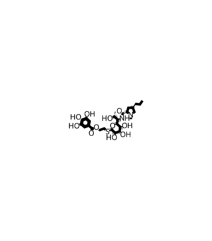 CCC[C@@H]1C[C@@H](C(=O)N[C@@H]([C@H]2O[C@H](SCCOC(=O)c3cc(O)c(O)c(O)c3)[C@H](O)[C@@H](O)[C@H]2O)[C@@H](C)O)N(C)C1